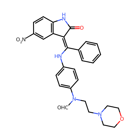 O=CN(CCN1CCOCC1)c1ccc(NC(=C2C(=O)Nc3ccc([N+](=O)[O-])cc32)c2ccccc2)cc1